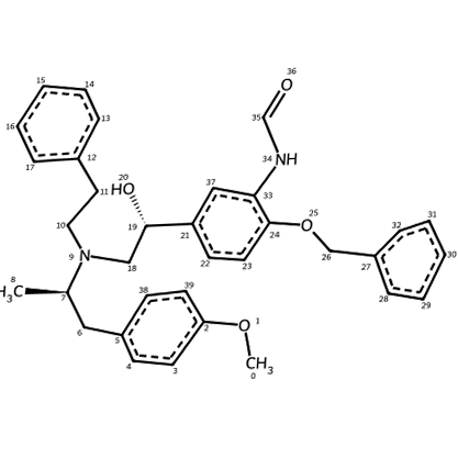 COc1ccc(C[C@@H](C)N(CCc2ccccc2)C[C@H](O)c2ccc(OCc3ccccc3)c(NC=O)c2)cc1